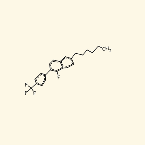 CCCCCCc1ccc2c(F)c(-c3ccc(C(F)(F)F)cc3)ccc2c1